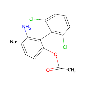 CC(=O)Oc1cccc(N)c1-c1c(Cl)cccc1Cl.[Na]